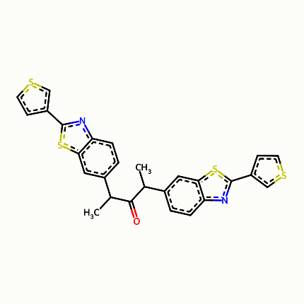 CC(C(=O)C(C)c1ccc2nc(-c3ccsc3)sc2c1)c1ccc2nc(-c3ccsc3)sc2c1